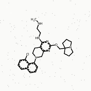 CNCCNc1nc(OCC23CCCN2CCC3)nc2c1CCN(c1cccc3cccc(Cl)c13)C2